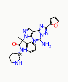 CC(C(=O)N[C@@H]1CCCNC1)(c1ccccc1)n1ncc2c1nc(N)n1nc(-c3ccco3)nc21